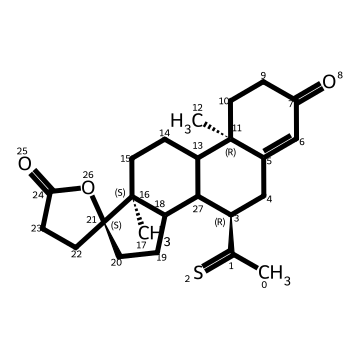 CC(=S)[C@@H]1CC2=CC(=O)CC[C@]2(C)C2CC[C@@]3(C)C(CC[C@]34CCC(=O)O4)C21